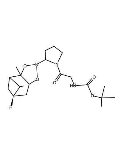 CC(C)(C)OC(=O)NCC(=O)N1CCCC1B1OC2C[C@@H]3CC(C2(C)O1)C3(C)C